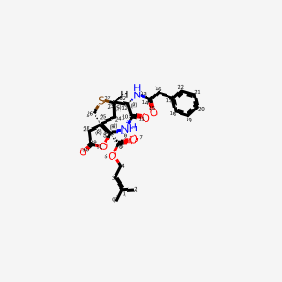 CC(C)=CCOC(=O)[C@@]12NC(=O)[C@@H](NC(=O)Cc3ccccc3)[C@@H]3C[C@]1(CS3)CC(=O)O2